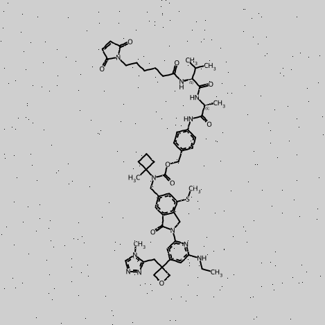 CCNc1cc(C2(Cc3nncn3C)COC2)cc(N2Cc3c(SC)cc(CN(C(=O)OCc4ccc(NC(=O)[C@H](C)NC(=O)[C@@H](NC(=O)CCCCCN5C(=O)C=CC5=O)C(C)C)cc4)C4(C)CCC4)cc3C2=O)n1